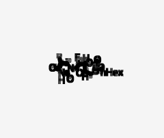 CCCCCCOP1(=O)OC[C@@H]2O[C@H](n3cc(C)c(=O)[nH]c3=O)[C@H](F)[C@H]2O1